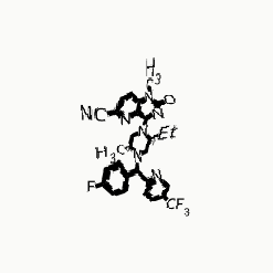 CC[C@H]1CN(C(c2ccc(F)cc2)c2ccc(C(F)(F)F)cn2)[C@H](C)CN1c1nc(=O)n(C)c2ccc(C#N)nc12